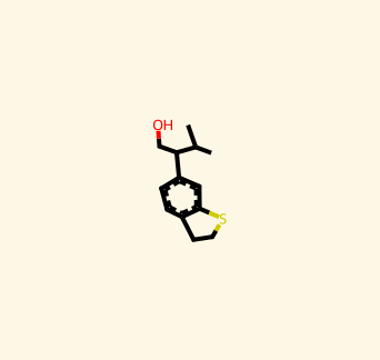 CC(C)C(CO)c1ccc2c(c1)SCC2